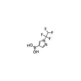 OB(O)c1cnn(C(F)(F)C(F)F)c1